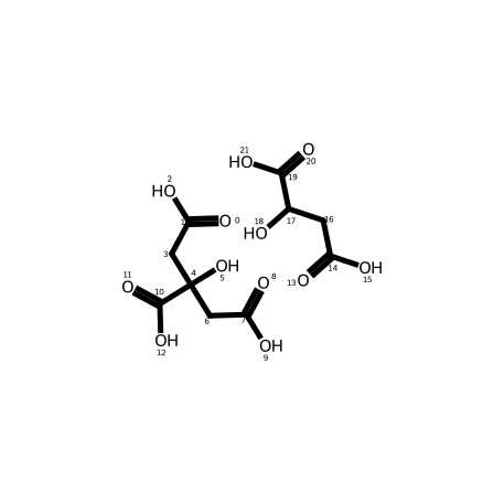 O=C(O)CC(O)(CC(=O)O)C(=O)O.O=C(O)CC(O)C(=O)O